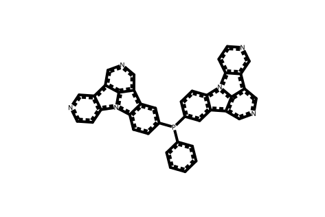 c1ccc(P(c2ccc3c(c2)c2cncc4c5cnccc5n3c42)c2ccc3c(c2)c2cncc4c5cnccc5n3c42)cc1